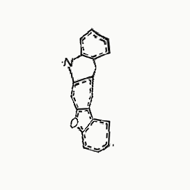 [c]1ccc2oc3cc4c(cc3c2c1)-c1ccccc1[N]4